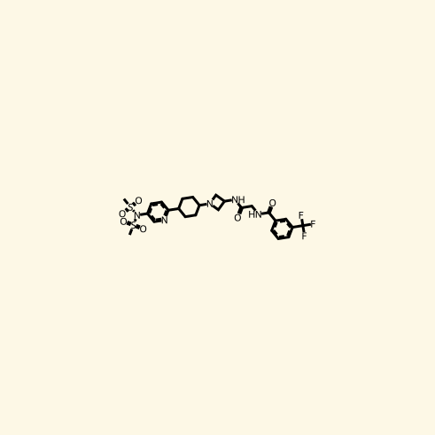 CS(=O)(=O)N(c1ccc(C2CCC(N3CC(NC(=O)CNC(=O)c4cccc(C(F)(F)F)c4)C3)CC2)nc1)S(C)(=O)=O